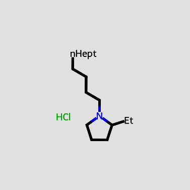 CCCCCCCCCCCN1CCCC1CC.Cl